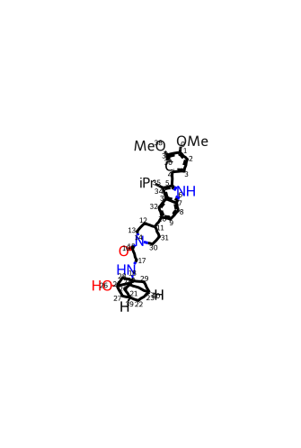 COc1ccc(-c2[nH]c3ccc(C4CCN(C(=O)CN[C@@]56C[C@@H]7C[C@@H](C[C@@](O)(C7)C5)C6)CC4)cc3c2C(C)C)cc1OC